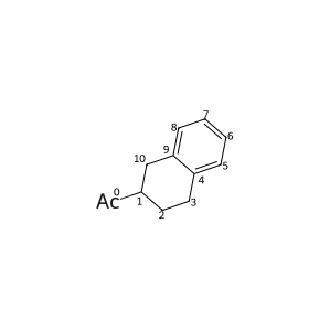 CC(=O)C1CCc2ccccc2C1